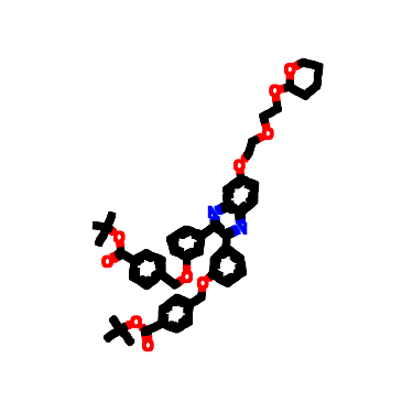 CC(C)(C)OC(=O)c1ccc(COc2cccc(-c3nc4ccc(OCCOCCOC5CCCCO5)cc4nc3-c3cccc(OCc4ccc(C(=O)OC(C)(C)C)cc4)c3)c2)cc1